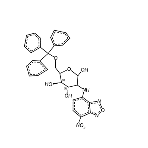 O=[N+]([O-])c1ccc(NC2C(O)OC(COC(c3ccccc3)(c3ccccc3)c3ccccc3)[C@H](O)[C@H]2O)c2nonc12